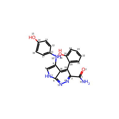 NC(=O)c1nnc2[nH]cc(Nc3ccc(O)cc3)c2c1-c1ccccc1O